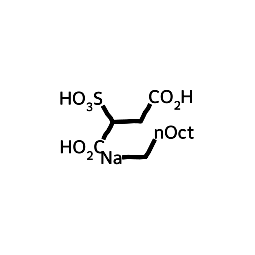 CCCCCCCC[CH2][Na].O=C(O)CC(C(=O)O)S(=O)(=O)O